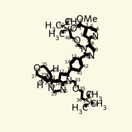 COC(=O)c1ccnc(-c2cnc(-c3ccc(-c4cc5c(N6[C@@H]7CC[C@H]6COC7)ncnc5n4COCC[Si](C)(C)C)cc3)n2COCC[Si](C)(C)C)c1